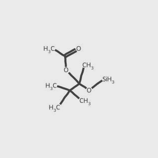 CC(=O)OC(C)(O[SiH3])C(C)(C)C